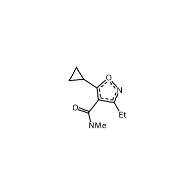 CCc1noc(C2CC2)c1C(=O)NC